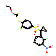 CCOC(=S)Sc1ccc(S(=O)(=O)C2(c3cccc([N+](=O)[O-])c3F)CC2)cc1F